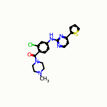 CN1CCN(C(=O)c2ccc(Nc3nccc(-c4cccs4)n3)cc2Cl)CC1